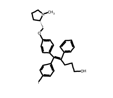 CN1CCC[C@H]1COc1ccc(/C(=C(/CCCO)c2ccccc2)c2ccc(I)cc2)cc1